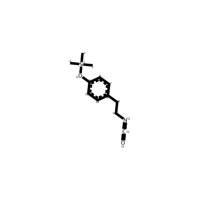 C[Si](C)(C)Oc1ccc(CCN=C=O)cc1